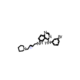 Brc1cccc(Nc2ncnc3ccc(NC/C=C/CN4CCCCC4)cc23)c1